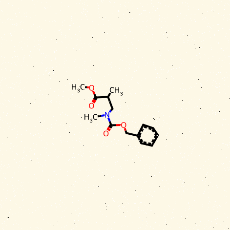 COC(=O)C(C)CN(C)C(=O)OCc1ccccc1